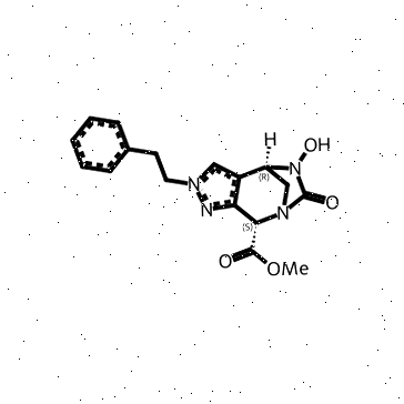 COC(=O)[C@@H]1c2nn(CCc3ccccc3)cc2[C@@H]2CN1C(=O)N2O